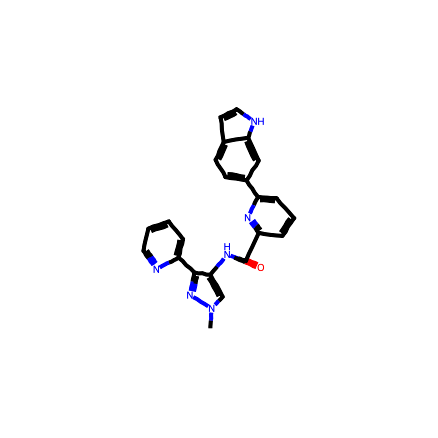 Cn1cc(NC(=O)c2cccc(-c3ccc4cc[nH]c4c3)n2)c(-c2ccccn2)n1